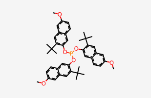 COc1ccc2cc(OP(Oc3cc4ccc(OC)cc4cc3C(C)(C)C)Oc3cc4ccc(OC)cc4cc3C(C)(C)C)c(C(C)(C)C)cc2c1